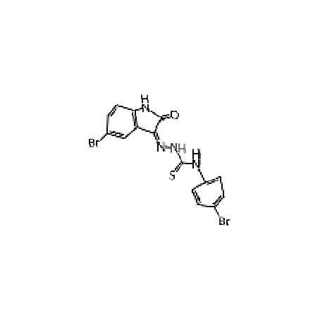 O=C1Nc2ccc(Br)cc2/C1=N/NC(=S)Nc1ccc(Br)cc1